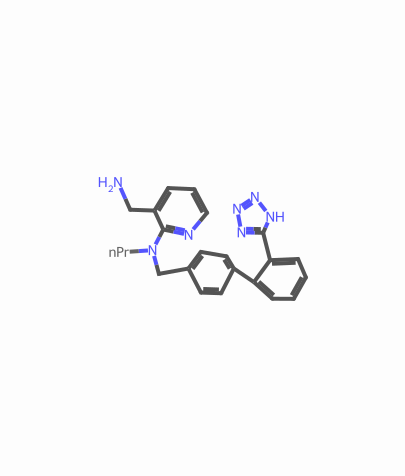 CCCN(Cc1ccc(-c2ccccc2-c2nnn[nH]2)cc1)c1ncccc1CN